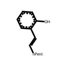 CCCCC/C=C/c1ccccc1O